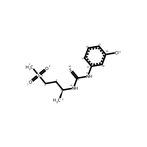 C[C@@H](CCS(C)(=O)=O)NC(=S)Nc1cccc(Cl)c1